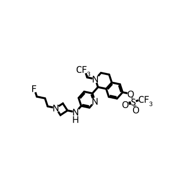 O=S(=O)(Oc1ccc2c(c1)CCN(CC(F)(F)F)C2c1ccc(NC2CN(CCCF)C2)cn1)C(F)(F)F